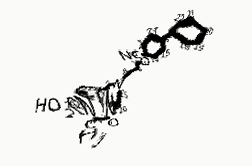 C[C@H](C(=O)N1CCN(CCCOC2(C#N)C=CC(c3ccccc3)=CC2)CC1)N(C)C(=O)O